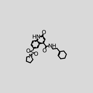 O=C(NCCC1=CCCCC1)c1cc(=O)[nH]c2ccc(S(=O)(=O)N3CCCC3)cc12